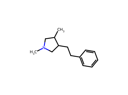 CC1CN(C)CC1CCc1ccccc1